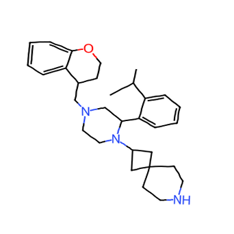 CC(C)c1ccccc1C1CN(CC2CCOc3ccccc32)CCN1C1CC2(CCNCC2)C1